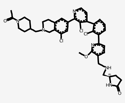 COc1nc(-c2cccc(-c3ccnc(-c4cc(Cl)c5c(c4)CCN(CC4CCN(C(C)=O)CC4)C5)c3Cl)c2Cl)ccc1CNC[C@H]1CCC(=O)N1